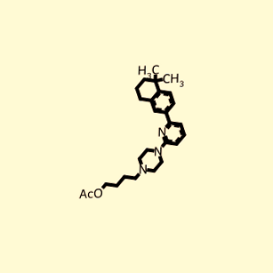 CC(=O)OCCCCN1CCN(c2cccc(-c3ccc4c(c3)CCCC4(C)C)n2)CC1